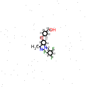 C=C1N=CN(Cc2c(F)cc(F)cc2F)c2ccc(Oc3ccc(CO)cc3)cc21